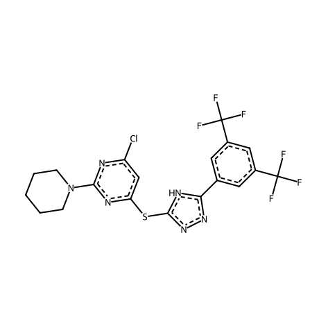 FC(F)(F)c1cc(-c2nnc(Sc3cc(Cl)nc(N4CCCCC4)n3)[nH]2)cc(C(F)(F)F)c1